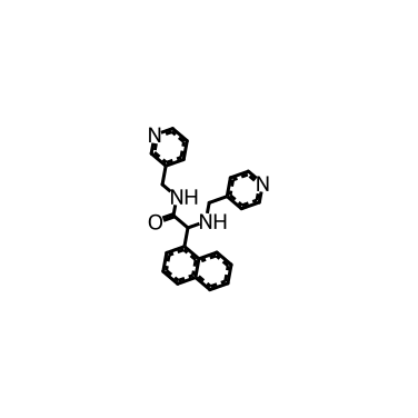 O=C(NCc1cccnc1)C(NCc1ccncc1)c1cccc2ccccc12